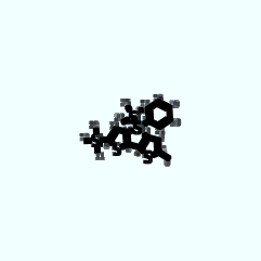 Cc1cc2c(s1)-c1sc([Si](C)(C)C)cc1[Si]2(c1ccccc1)[Si](C)(C)C